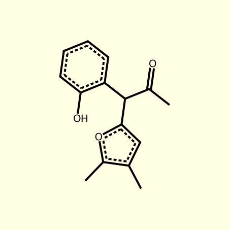 CC(=O)C(c1cc(C)c(C)o1)c1ccccc1O